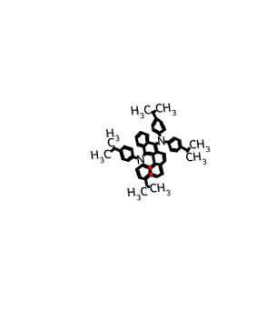 CC(C)c1ccc(N(c2ccc(C(C)C)cc2)c2c3ccccc3c(N(c3ccc(C(C)C)cc3)c3ccc(C(C)C)cc3)c3c2ccc2ccccc23)cc1